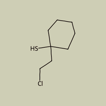 SC1(CCCl)CCCCC1